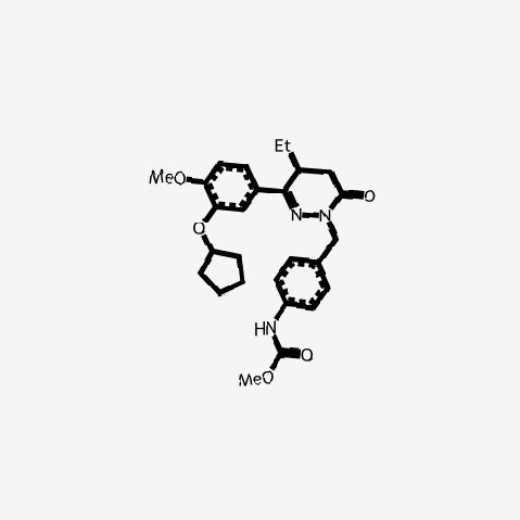 CCC1CC(=O)N(Cc2ccc(NC(=O)OC)cc2)N=C1c1ccc(OC)c(OC2CCCC2)c1